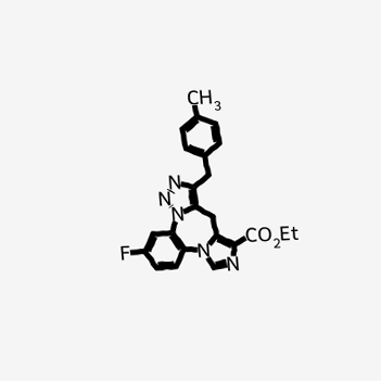 CCOC(=O)c1ncn2c1Cc1c(Cc3ccc(C)cc3)nnn1-c1cc(F)ccc1-2